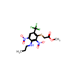 CCCNc1c([N+](=O)[O-])cc(C(F)(F)F)c(SCC(=O)OC)c1[N+](=O)[O-]